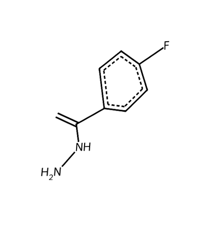 C=C(NN)c1ccc(F)cc1